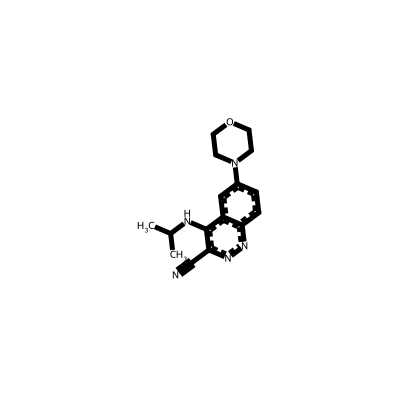 CC(C)Nc1c(C#N)nnc2ccc(N3CCOCC3)cc12